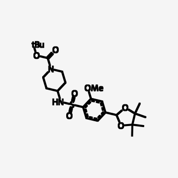 COc1cc(C2OC(C)(C)C(C)(C)O2)ccc1S(=O)(=O)NC1CCN(C(=O)OC(C)(C)C)CC1